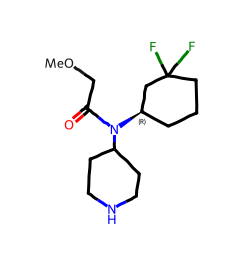 COCC(=O)N(C1CCNCC1)[C@@H]1CCCC(F)(F)C1